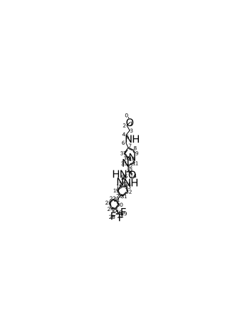 COCCCNCc1ccn2cc(C(=O)Nc3nc4cc(-c5cccc(C(F)(F)F)c5)ccc4[nH]3)nc2c1